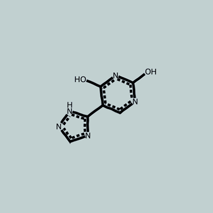 Oc1ncc(-c2n[c]n[nH]2)c(O)n1